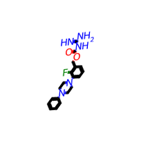 N=C(N)NC(=O)OCc1cccc(N2CCN(c3ccccc3)CC2)c1F